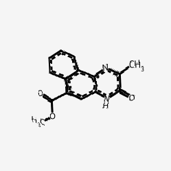 COC(=O)c1cc2[nH]c(=O)c(C)nc2c2ccccc12